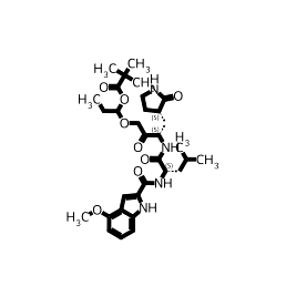 CCC(OCC(=O)[C@H](C[C@@H]1CCNC1=O)NC(=O)[C@H](CC(C)C)NC(=O)c1cc2c(OC)cccc2[nH]1)OC(=O)C(C)(C)C